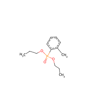 CCCOP(=O)(OCCC)c1ccccc1C